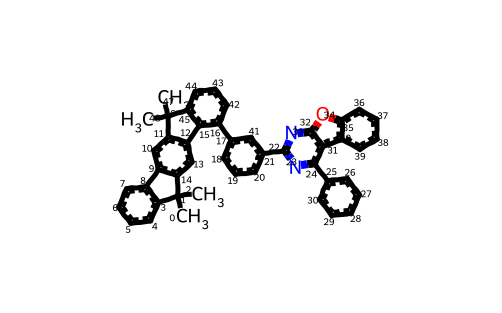 CC1(C)c2ccccc2-c2cc3c(cc21)-c1c(-c2cccc(-c4nc(-c5ccccc5)c5c(n4)oc4ccccc45)c2)cccc1C3(C)C